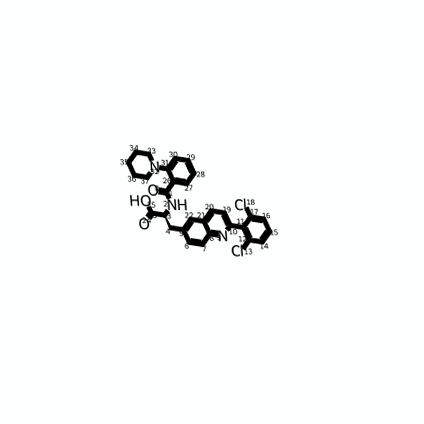 O=C(N[C@@H](Cc1ccc2nc(-c3c(Cl)cccc3Cl)ccc2c1)C(=O)O)c1ccccc1N1CCCCC1